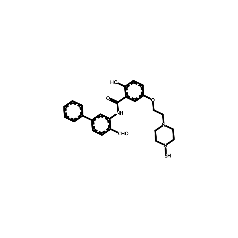 O=Cc1ccc(-c2ccccc2)cc1NC(=O)c1cc(OCCN2CCN(S)CC2)ccc1O